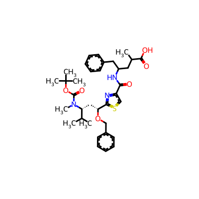 CC(CC(Cc1ccccc1)NC(=O)c1csc([C@@H](C[C@H](C(C)C)N(C)C(=O)OC(C)(C)C)OCc2ccccc2)n1)C(=O)O